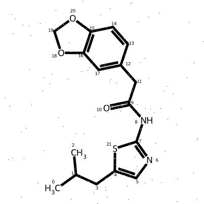 CC(C)Cc1cnc(NC(=O)Cc2ccc3c(c2)OCO3)s1